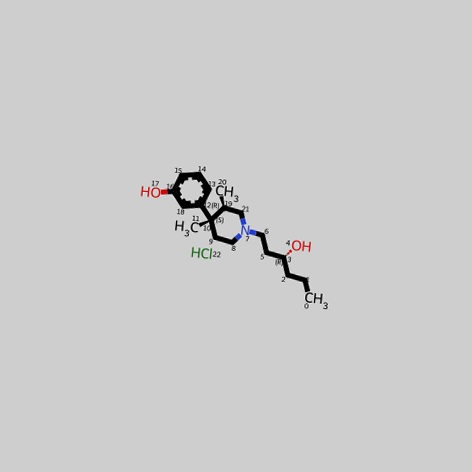 CCC[C@@H](O)CCN1CC[C@](C)(c2cccc(O)c2)[C@@H](C)C1.Cl